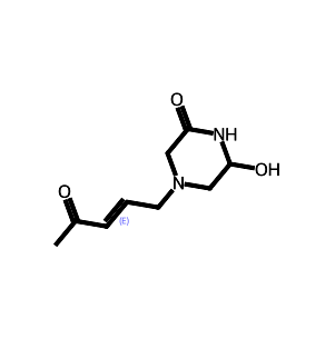 CC(=O)/C=C/CN1CC(=O)NC(O)C1